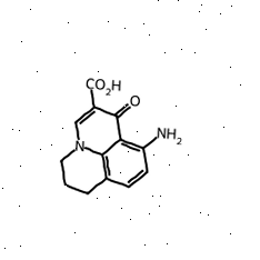 Nc1ccc2c3c1c(=O)c(C(=O)O)cn3CCC2